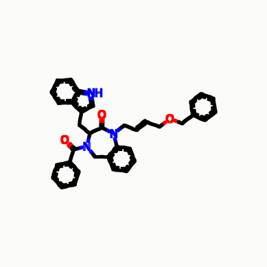 O=C1C(Cc2c[nH]c3ccccc23)N(C(=O)c2ccccc2)Cc2ccccc2N1C/C=C/COCc1ccccc1